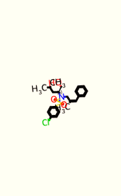 CC(=Cc1ccccc1)CN([C@H](CO)CC(C)C)S(=O)(=O)c1ccc(Cl)cc1